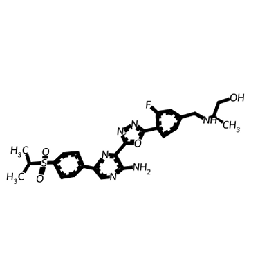 CC(C)S(=O)(=O)c1ccc(-c2cnc(N)c(-c3nnc(-c4ccc(CN[C@H](C)CO)cc4F)o3)n2)cc1